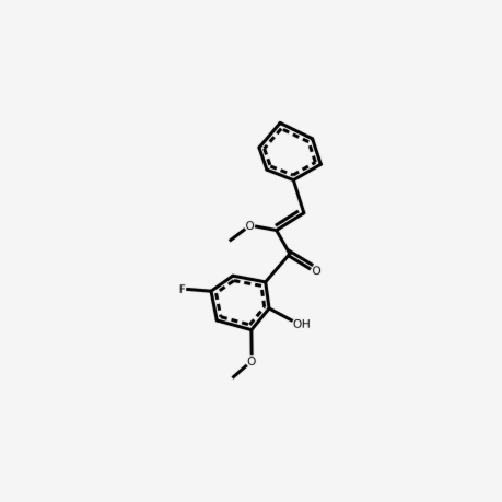 COC(=Cc1ccccc1)C(=O)c1cc(F)cc(OC)c1O